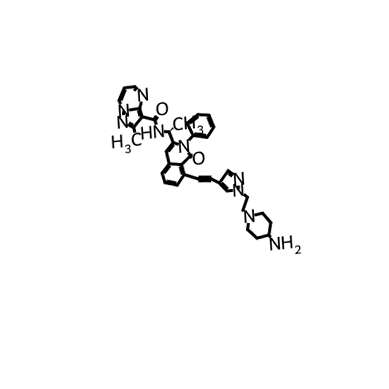 Cc1nn2cccnc2c1C(=O)N[C@H](C)c1cc2cccc(C#Cc3cnn(CCN4CCC(N)CC4)c3)c2c(=O)n1-c1ccccc1